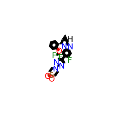 O=S1(=O)CCN(c2ncc(-c3cc4c(cc3F)nc3n4[C@@H](c4ccccc4OC(F)F)C4C[C@@H]34)cn2)CC1